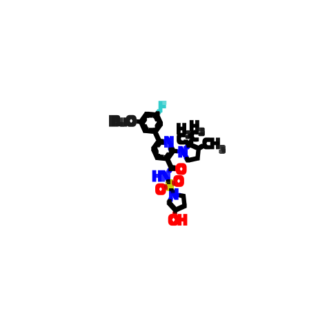 CC(C)COc1cc(F)cc(-c2ccc(C(=O)NS(=O)(=O)N3CC[C@@H](O)C3)c(N3CCC(C)C3(C)C)n2)c1